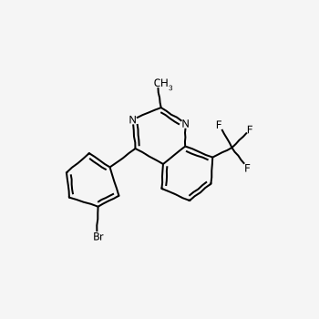 Cc1nc(-c2cccc(Br)c2)c2cccc(C(F)(F)F)c2n1